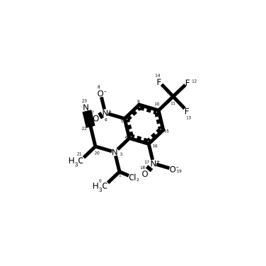 CC(Cl)N(c1c([N+](=O)[O-])cc(C(F)(F)F)cc1[N+](=O)[O-])C(C)C#N